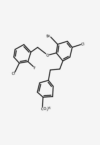 O=C(O)c1ccc(CCc2cc(Cl)cc(Br)c2OCc2cccc(Cl)c2F)cc1